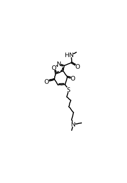 CNC(=O)c1noc2c1C(=O)C(SCCCCCN(C)C)=CC2=O